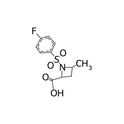 CC1CC(C(=O)O)N1S(=O)(=O)c1ccc(F)cc1